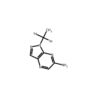 [2H]C([2H])(C)n1ncc2ncc(N)nc21